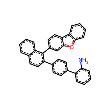 Nc1ccccc1-c1ccc(-c2ccc3ccccc3c2-c2ccc3c(c2)oc2ccccc23)cc1